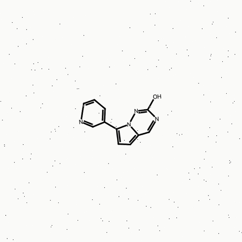 Oc1ncc2ccc(-c3cccnc3)n2n1